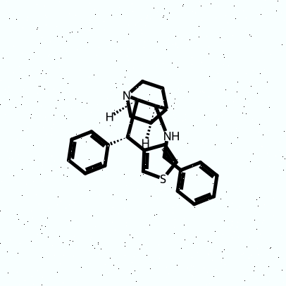 c1ccc(CN[C@@H]2C3CCN(CC3)[C@@H]2[C@@H](c2ccccc2)c2ccsc2)cc1